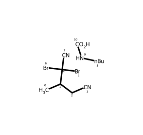 CC(CC#N)C(Br)(Br)C#N.CCCCNC(=O)O